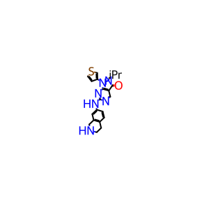 CC(C)n1c(=O)c2cnc(Nc3ccc4c(c3)CNCC4)nc2n1-c1ccsc1